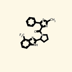 Cc1nc(C(=O)N2CCCC2c2nc3c(C(F)(F)F)cccc3[nH]2)c(-c2ccccc2)s1